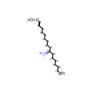 CCCCCCCCC=CCCCCCCCC(N)CCCCCCC(C)C